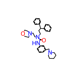 O=C(Nc1cccc(CN2CCCCC2)c1)N(CCC(c1ccccc1)c1ccccc1)CCN1CCOCC1